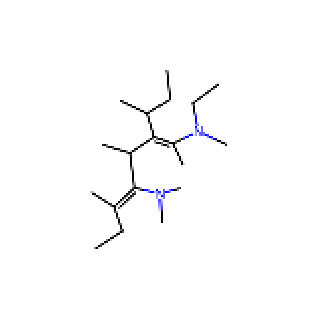 CC/C(C)=C(/C(C)/C(=C(\C)N(C)CC)C(C)CC)N(C)C